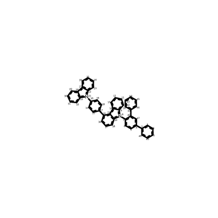 c1ccc(-c2ccc(-n3c4ccccc4c4c(-c5ccc(-n6c7ccccc7c7ccccc76)cc5)cccc43)c(-c3ccccc3)c2)cc1